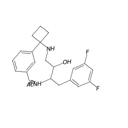 CC(=O)NC(Cc1cc(F)cc(F)c1)C(O)CNC1(c2cccc(C(C)C)c2)CCC1